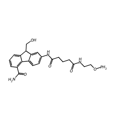 NC(=O)c1cccc2c1-c1ccc(NC(=O)CCCC(=O)NCCOP)cc1C2CO